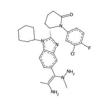 C/C(N)=C(\c1ccc2c(c1)nc([C@@H]1CCCC(=O)N1c1ccc(F)c(Cl)c1)n2C1CCCCC1)N(C)N